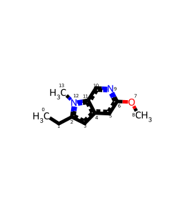 CCc1cc2cc(OC)ncc2n1C